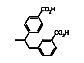 CC(Cc1cccc(C(=O)O)c1)c1ccc(C(=O)O)cc1